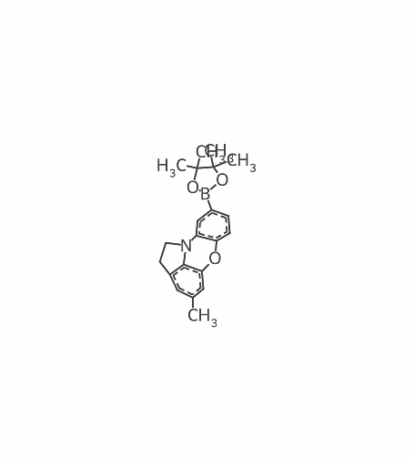 Cc1cc2c3c(c1)Oc1ccc(B4OC(C)(C)C(C)(C)O4)cc1N3CC2